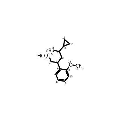 CCCCC(CC(CC(=O)O)c1ccccc1OC(F)(F)F)C1CC1